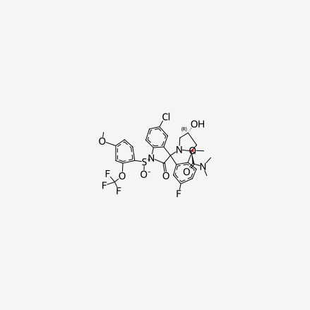 COc1ccc([S+]([O-])N2C(=O)C(c3cc(F)ccc3OC)(N3C[C@H](O)C[C@H]3C(=O)N(C)C)c3cc(Cl)ccc32)c(OC(F)(F)F)c1